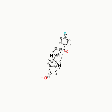 C[C@]12CC[C@H]3[C@@H](CC=C4C=C(CO)CC[C@@]43C)[C@@H]1CC[C@@H]2C(=O)c1ccc(F)cc1